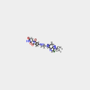 CC(C)n1ncc2c(-c3cn([C@H]4C[C@H](CNc5ccc6c(c5)C(=O)N(C5CCC(=O)NC5=O)C6=O)C4)nc3C3CC3)ncc(F)c21